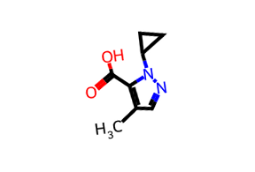 Cc1cnn(C2CC2)c1C(=O)O